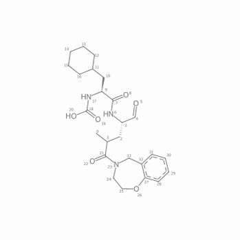 CC(C[C@@H](C=O)NC(=O)[C@H](CC1CCCCC1)NC(=O)O)C(=O)N1CCOc2ccccc2C1